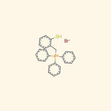 Sc1ccccc1C[P+](c1ccccc1)(c1ccccc1)c1ccccc1.[Br-]